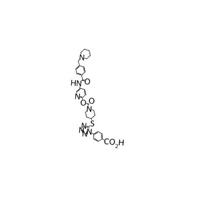 O=C(O)c1ccc(-n2nnnc2SC2CCN(C(=O)Oc3ccc(NC(=O)c4ccc(CN5CCCCC5)cc4)cn3)CC2)cc1